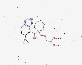 CCOC(COCC1(C(O)C2=C(C3CC3)CCn3cncc32)CCCCC1)OCC